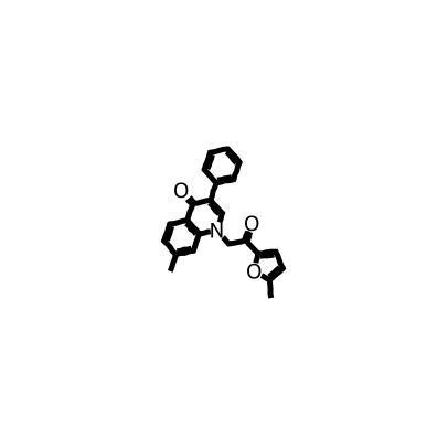 Cc1ccc2c(=O)c(-c3ccccc3)cn(CC(=O)c3ccc(C)o3)c2c1